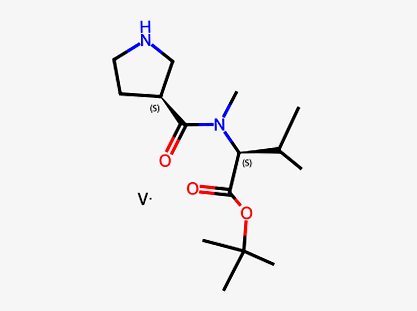 CC(C)[C@@H](C(=O)OC(C)(C)C)N(C)C(=O)[C@H]1CCNC1.[V]